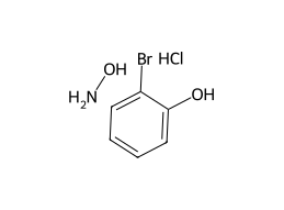 Cl.NO.Oc1ccccc1Br